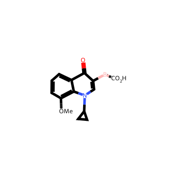 COc1cccc2c(=O)c([B]C(=O)O)cn(C3CC3)c12